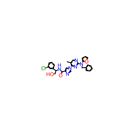 Cc1cnc(N(Cc2ccccc2)c2ccco2)nc1-n1cnc(C(=O)NC(CO)c2cccc(Cl)c2)c1